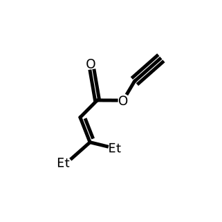 C#COC(=O)C=C(CC)CC